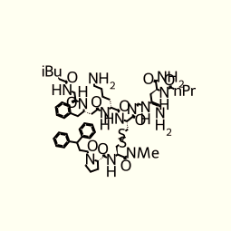 CCCC(=O)N[C@@H](C/C(=C/N)N/C=N\C(=O)[C@H](CSSC[C@H](NC(=O)[C@@H]1CCCN1C(=O)CC(c1ccccc1)c1ccccc1)C(=O)NC)NC(=O)[C@@H](CCCCN)NC(=O)C[C@H](Cc1ccccc1)NC(=O)CNC(=O)C[C@@H](C)CC)C(N)=O